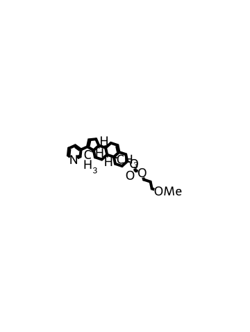 COCCCOC(=O)O[C@H]1CC[C@@]2(C)C(=CC[C@@H]3[C@@H]2CC[C@]2(C)C(c4cccnc4)=CC[C@@H]32)C1